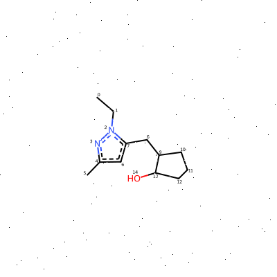 CCn1nc(C)cc1C[C]1CCCC1O